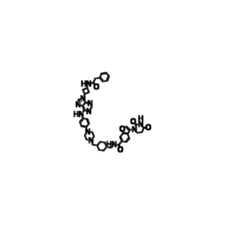 O=C1CCN(c2coc3cc(C(=O)NCC4CCC(CN5CCN(c6ccc(Nc7ncnc8c7ncn8C7CC(NC(=O)Cc8ccccc8)C7)cc6)CC5)CC4)ccc23)C(=O)N1